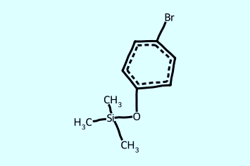 C[Si](C)(C)Oc1ccc(Br)cc1